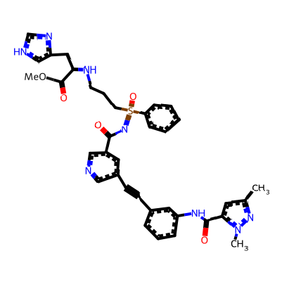 COC(=O)C(Cc1c[nH]cn1)NCCCS(=O)(=NC(=O)c1cncc(C#Cc2cccc(NC(=O)c3cc(C)nn3C)c2)c1)c1ccccc1